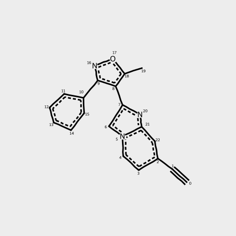 C#Cc1ccn2cc(-c3c(-c4ccccc4)noc3C)nc2c1